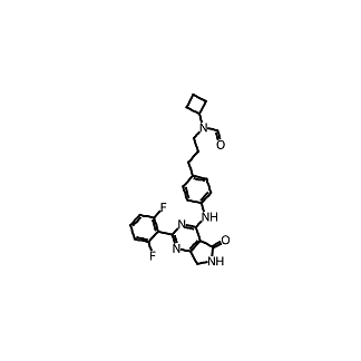 O=CN(CCCc1ccc(Nc2nc(-c3c(F)cccc3F)nc3c2C(=O)NC3)cc1)C1CCC1